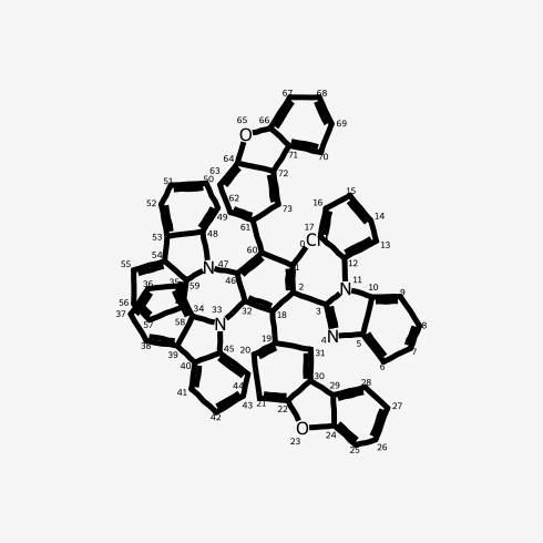 N#Cc1c(-c2nc3ccccc3n2-c2ccccc2)c(-c2ccc3oc4ccccc4c3c2)c(-n2c3ccccc3c3ccccc32)c(-n2c3ccccc3c3ccccc32)c1-c1ccc2oc3ccccc3c2c1